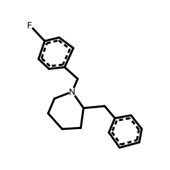 Fc1ccc(CN2CCCCC2Cc2ccccc2)cc1